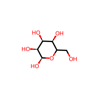 OCC1O[C@@H](O)[C@@H](O)[C@@H](O)[C@H]1O